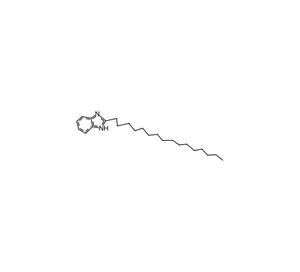 CCCCCCCCCCCCCCCCc1nc2ccccc2[nH]1